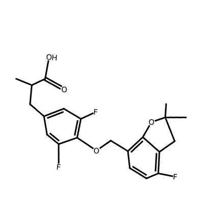 CC(Cc1cc(F)c(OCc2ccc(F)c3c2OC(C)(C)C3)c(F)c1)C(=O)O